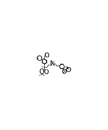 COc1cc(CCN(C)CCCC(C)(C(=O)OC(C)C)c2ccc(C=O)c(OC)c2)ccc1C=O